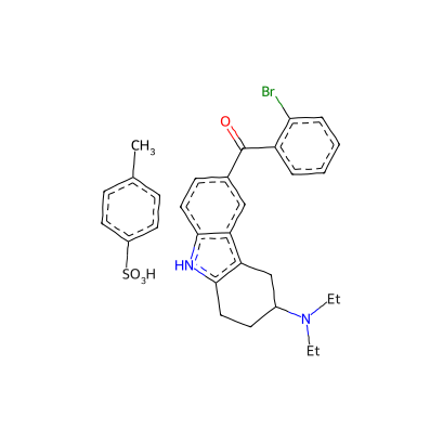 CCN(CC)C1CCc2[nH]c3ccc(C(=O)c4ccccc4Br)cc3c2C1.Cc1ccc(S(=O)(=O)O)cc1